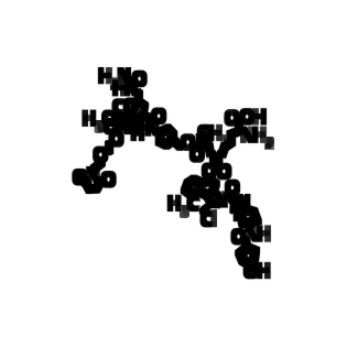 Cc1cccc2c(OC(=O)N(CCCC[C@H](N)C(=O)O)CCN(C)C(=O)OCc3ccc(NC(=O)[C@H](CCCNC(N)=O)NC(=O)[C@@H](NC(=O)OCCOCCN4C(=O)C=CC4=O)C(C)C)cc3)cc3c(c12)[C@H](CCl)CN3C(=O)c1cn2cc(NC(=O)c3ccc(O)cc3)ccc2n1